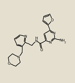 Nc1nc(C(=O)NCc2ncccc2CN2CCOCC2)cc(-c2ccco2)n1